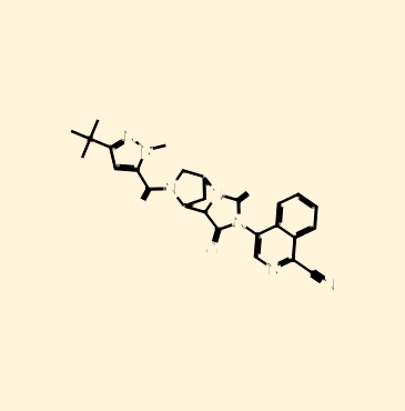 Cn1nc(C(C)(C)C)cc1C(=O)N1CC2CC1C1C(=O)N(c3cnc(C#N)c4ccccc34)C(=O)N21